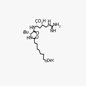 CCCCCCCCCCCCCCCCCC(=O)N[C@H](C(=O)N[C@@H](CCCNC(=N)N)C(=O)O)[C@@H](C)CC